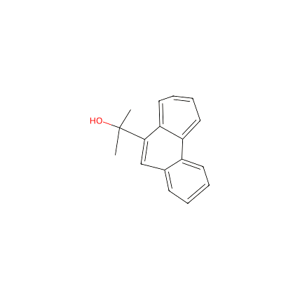 CC(C)(O)c1cc2ccccc2c2ccccc12